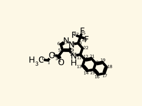 CCOC(=O)c1cnn2c1NC(c1ccc3ccccc3c1)CC2C(F)(F)F